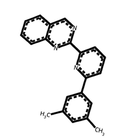 Cc1cc(C)cc(-c2cccc(-c3ncc4ccccc4n3)n2)c1